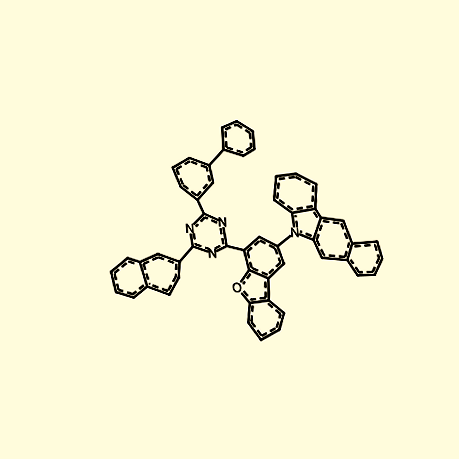 c1ccc(-c2cccc(-c3nc(-c4ccc5ccccc5c4)nc(-c4cc(-n5c6ccccc6c6cc7ccccc7cc65)cc5c4oc4ccccc45)n3)c2)cc1